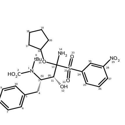 CC(C)(C)N(C(=O)O)[C@@H](Cc1ccccc1)[C@@H](O)C(N)(OC1CCCC1)S(=O)(=O)c1cccc([N+](=O)[O-])c1